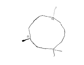 C[C@H]1CCC[C@H](C)CCC(C)(C)CCC1